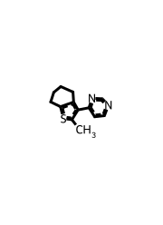 Cc1sc2c(c1-c1ccncn1)CCCC2